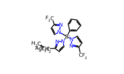 C=C.FC(F)(F)c1ccn([B-](c2ccccc2)(n2ccc(C(F)(F)F)n2)n2ccc(C(F)(F)F)n2)n1.[Ag+]